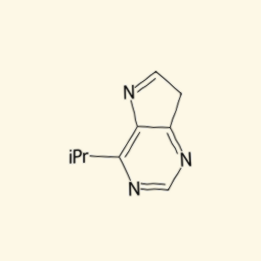 CC(C)c1ncnc2c1N=CC2